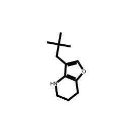 CC(C)(C)Cc1coc2c1NCCC2